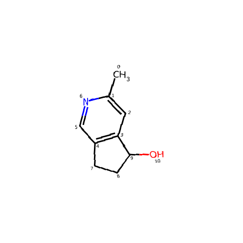 Cc1cc2c(cn1)CCC2O